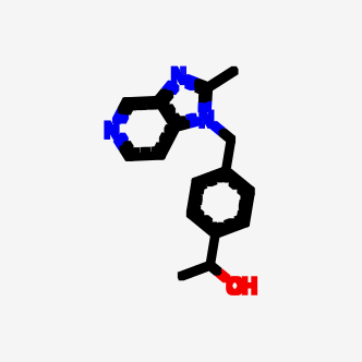 Cc1nc2cnccc2n1Cc1ccc(C(C)O)cc1